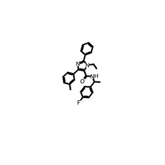 CCn1c(-c2ccccc2)nc(-c2cccc(C)c2)c1C(=O)NC(C)c1ccc(F)cc1